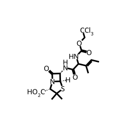 C/C=C(\C)C(NC(=O)OCC(Cl)(Cl)Cl)C(=O)N[C@H]1C(=O)N2[C@@H]1SC(C)(C)[C@@H]2C(=O)O